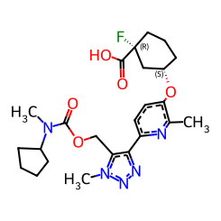 Cc1nc(-c2nnn(C)c2COC(=O)N(C)C2CCCC2)ccc1O[C@H]1CCC[C@](F)(C(=O)O)C1